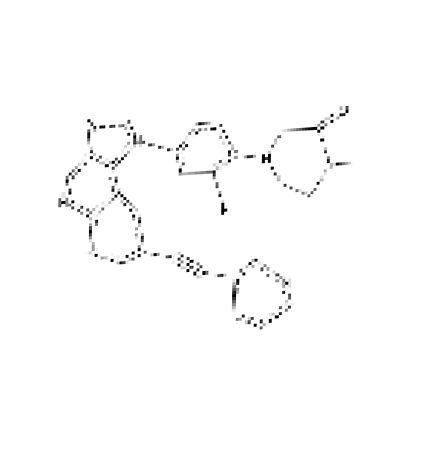 CN1CCN(c2ccc(-n3cnc4cnc5ccc(C#Cc6cccnc6)cc5c43)cc2F)CC1=O